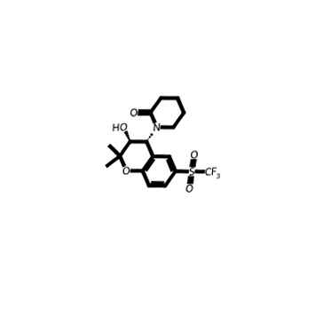 CC1(C)Oc2ccc(S(=O)(=O)C(F)(F)F)cc2[C@@H](N2CCCCC2=O)[C@@H]1O